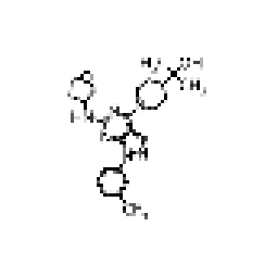 CC(C)(O)C1CCN(c2nc(NC3CCOC3)nc3c2cnn3-c2cccc(C(F)(F)F)c2)CC1